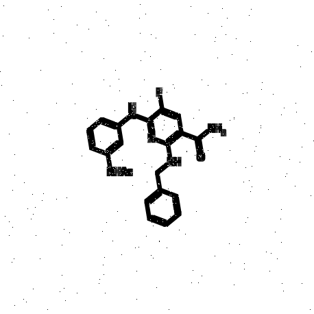 CC(=O)Nc1cccc(Nc2nc(NCc3ccccc3)c(C(N)=O)cc2F)c1